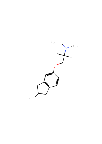 CCOC(=O)C1Cc2ccc(OCC(C)(C)N(C(=O)O)C(C)(C)C)cc2C1